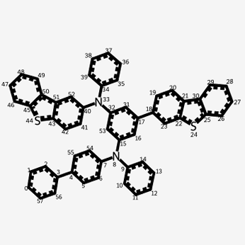 c1ccc(-c2ccc(N(c3ccccc3)c3cc(-c4ccc5c(c4)sc4ccccc45)cc(N(c4ccccc4)c4ccc5sc6ccccc6c5c4)c3)cc2)cc1